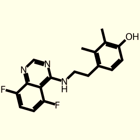 Cc1c(O)ccc(CCNc2ncnc3c(F)ccc(F)c23)c1C